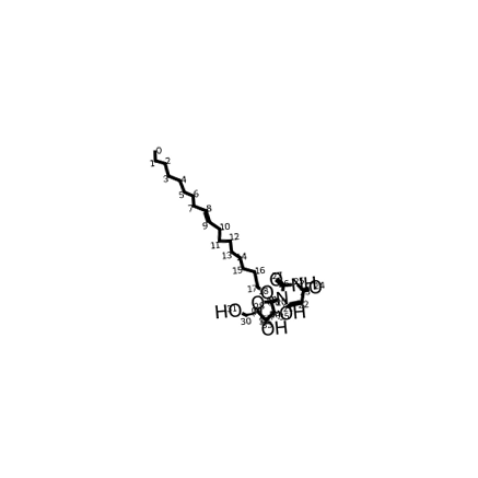 CCCCCCCCC=CCCCCCCCCO[C@@]1(n2ccc(=O)[nH]c2=O)O[C@H](CO)[C@@H](O)[C@H]1O